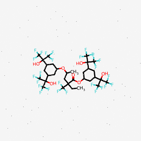 CCC(CC(C)OC1CC(C(O)(C(F)(F)F)C(F)(F)F)CC(C(O)(C(F)(F)F)C(F)(F)F)C1)(C(=O)OC1CC(C(O)(C(F)(F)F)C(F)(F)F)CC(C(O)(C(F)(F)F)C(F)(F)F)C1)C(F)(F)F